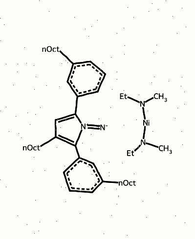 CCCCCCCCC1=C(c2cccc(CCCCCCCC)c2)[N+](=[N-])C(c2cccc(CCCCCCCC)c2)=C1.CC[N](C)[Ni][N](C)CC